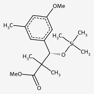 COC(=O)C(C)(C)[C@@H](O[Si](C)(C)C)c1cc(C)cc(OC)c1